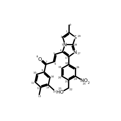 Cc1cn2c(/C=C/C(=O)c3ccc(C)c(C)c3)c(-c3ccc(CO)c([N+](=O)[O-])c3)nc2s1